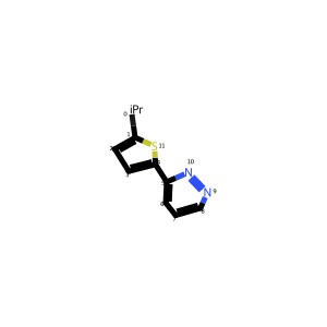 CC(C)c1ccc(-c2cccnn2)s1